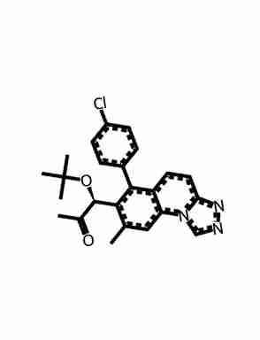 CC(=O)[C@@H](OC(C)(C)C)c1c(C)cc2c(ccc3nncn32)c1-c1ccc(Cl)cc1